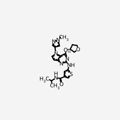 CC(C)NC(=O)c1csc(Nc2nc(O[C@H]3CCOC3)c3c(ccn3-c3cnn(C)c3)n2)c1